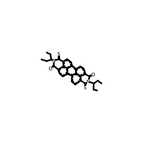 CCC(CC)N1C(=O)c2ccc3c4ccc5c6c(ccc(c7ccc(c2c37)C1=S)c64)C(=O)N(C(CC)CC)C5=S